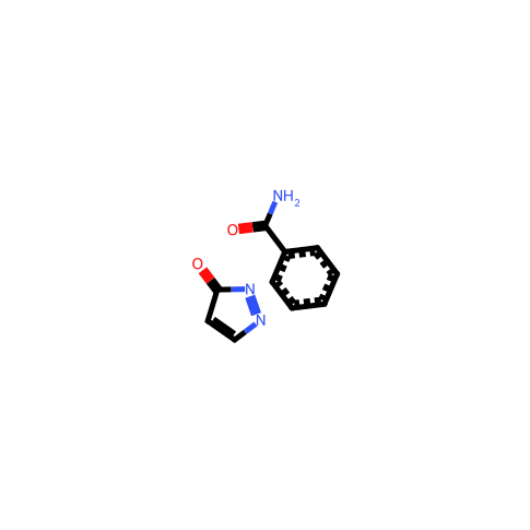 NC(=O)c1ccccc1.O=C1C=CN=N1